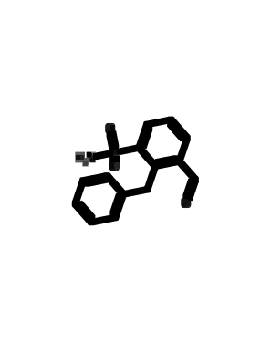 NS(=O)(=O)c1cccc(C=O)c1Cc1ccccc1